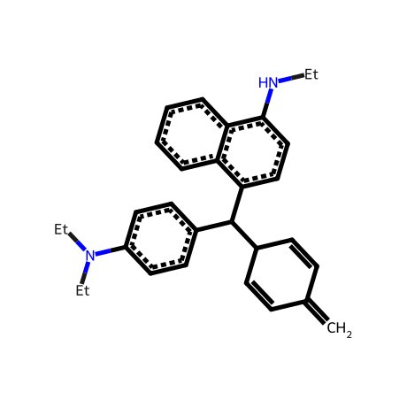 C=C1C=CC(C(c2ccc(N(CC)CC)cc2)c2ccc(NCC)c3ccccc23)C=C1